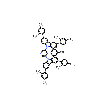 N#Cc1ccc(-c2c(-n3c4ccc(-c5ccc(C(F)(F)F)cc5C(F)(F)F)cc4c4cc(-c5ccc(C(F)(F)F)cc5C(F)(F)F)ccc43)cncc2-n2c3ccc(-c4ccc(C(F)(F)F)cc4C(F)(F)F)cc3c3cc(-c4ccc(C(F)(F)F)cc4C(F)(F)F)ccc32)cc1